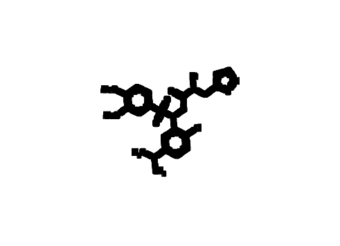 CCN(Cc1ccns1)C(=O)CN(c1cc(N(C)C)ccc1Cl)S(=O)(=O)c1ccc(OC)c(OC)c1